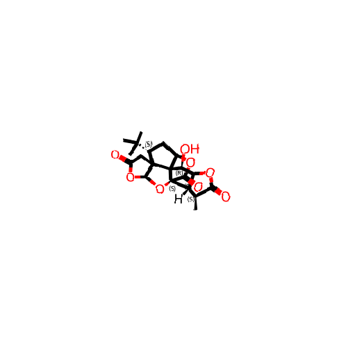 C[C@@H]1C(=O)OC2[C@H]1[C@@]13OC4OC(=O)CC45[C@H](C(C)(C)C)CC(OC1=O)C53[C@H]2O